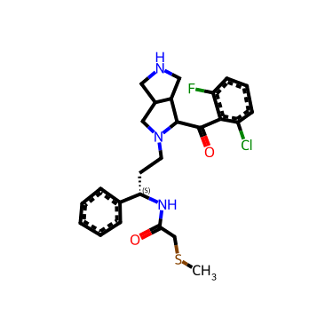 CSCC(=O)N[C@@H](CCN1CC2CNCC2C1C(=O)c1c(F)cccc1Cl)c1ccccc1